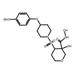 COc1ccc(OC2CCN(S(=O)(=O)C3CCOCC3(O)C(=O)NO)CC2)cc1